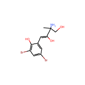 CC(N)(CO)C(O)=Cc1cc(Br)cc(Br)c1O